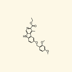 CCOC(=O)c1ncc2[nH]c3ccc(OCc4ccc(OC)cc4OC)cc3c2c1C